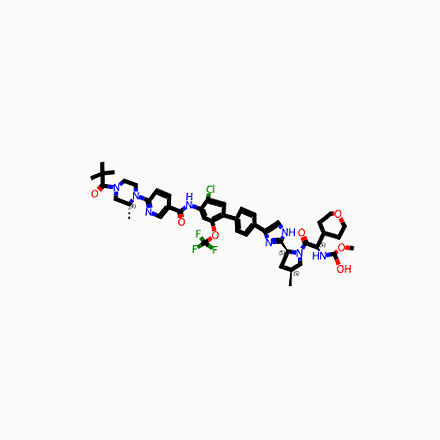 COC(O)N[C@H](C(=O)N1C[C@@H](C)C[C@H]1c1nc(-c2ccc(-c3cc(Cl)c(NC(=O)c4ccc(N5CCN(C(=O)C(C)(C)C)C[C@H]5C)nc4)cc3OC(F)(F)F)cc2)c[nH]1)C1CCOCC1